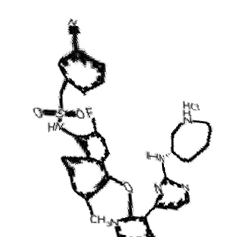 Cc1ccc2c(NS(=O)(=O)Cc3cccc(C#N)c3)c(F)ccc2c1Oc1ncccc1-c1ccnc(N[C@H]2CCCNC2)n1.Cl